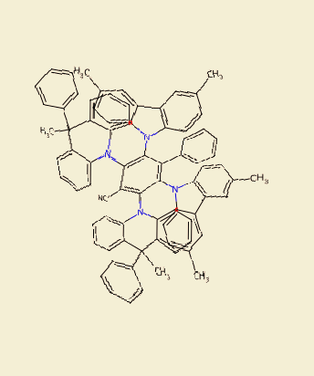 Cc1ccc2c(c1)c1cc(C)ccc1n2-c1c(-c2ccccc2)c(-n2c3ccc(C)cc3c3cc(C)ccc32)c(N2c3ccccc3C(C)(c3ccccc3)c3ccccc32)c(C#N)c1N1c2ccccc2C(C)(c2ccccc2)c2ccccc21